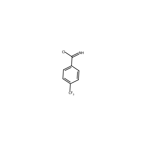 N=C(Cl)c1ccc(C(F)(F)F)cc1